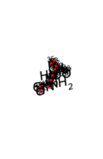 COc1ccc(-c2cnc(N)c(-c3ccc(NC(=O)c4cn(CC5CCOCC5)cc(-c5ccc(C)cn5)c4=O)cn3)c2)cc1OC